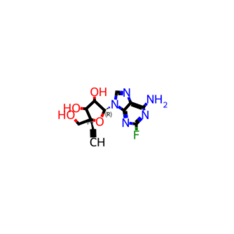 C#C[C@]1(CO)O[C@@H](n2cnc3c(N)nc(F)nc32)C(O)C1O